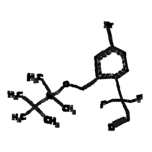 CC(C)(C)[Si](C)(C)OCc1cc(Br)ccc1C(F)(F)C=O